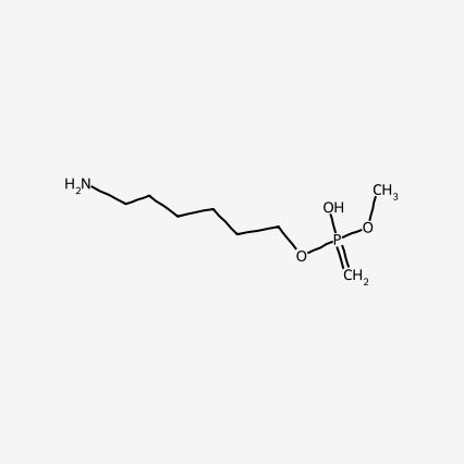 C=P(O)(OC)OCCCCCCN